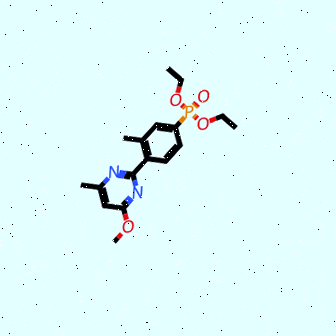 CCOP(=O)(OCC)c1ccc(-c2nc(C)cc(OC)n2)c(C)c1